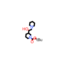 CC(C)(C)OC(=O)N1CCCC(C(O)CN2CCCCC2)C1